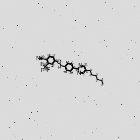 CCCCCCc1cnc(-c2ccc(COc3ccc(C#N)c(C(F)(F)F)c3)cc2)nc1